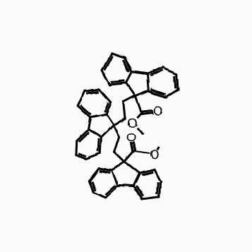 COC(=O)C1(CCC2(CCC3(C(=O)OC)c4ccccc4-c4ccccc43)c3ccccc3-c3ccccc32)c2ccccc2-c2ccccc21